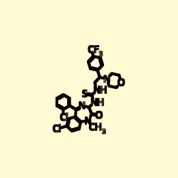 CN1C(=O)C(NC(=S)NCC(c2ccc(C(F)(F)F)cc2)N2CCOCC2)N=C(c2ccccc2Cl)c2cc(Cl)ccc21